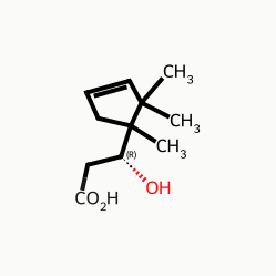 CC1(C)C=CCC1(C)[C@H](O)CC(=O)O